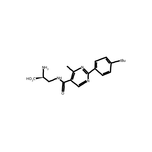 Cc1nc(-c2ccc(C(C)(C)C)cc2)ncc1C(=O)NC[C@H](N)C(=O)O